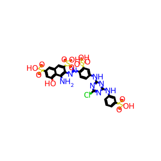 Nc1c(N=Nc2ccc(Nc3nc(Cl)nc(Nc4cccc(S(=O)(=O)O)c4)n3)cc2S(=O)(=O)O)c(S(=O)(=O)O)cc2cc(S(=O)(=O)O)cc(O)c12